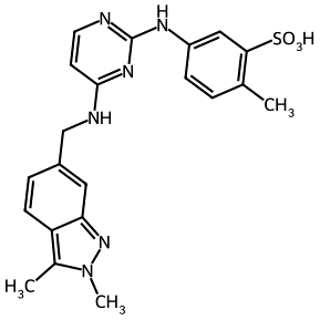 Cc1ccc(Nc2nccc(NCc3ccc4c(C)n(C)nc4c3)n2)cc1S(=O)(=O)O